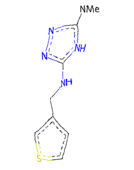 CNc1nnc(NCc2ccsc2)[nH]1